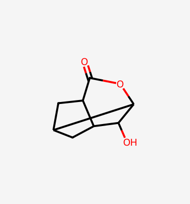 O=C1OC2C3CC1C(C3)C2O